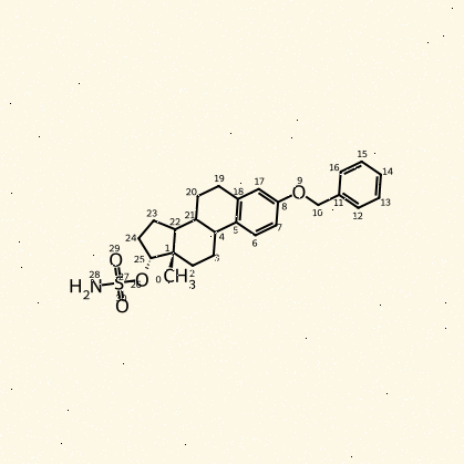 C[C@]12CCC3c4ccc(OCc5ccccc5)cc4CCC3C1CC[C@H]2OS(N)(=O)=O